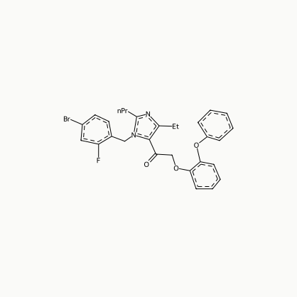 CCCc1nc(CC)c(C(=O)COc2ccccc2Oc2ccccc2)n1Cc1ccc(Br)cc1F